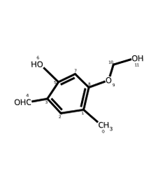 Cc1cc(C=O)c(O)cc1OCO